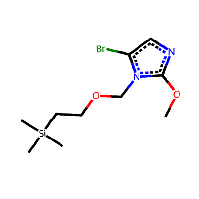 COc1ncc(Br)n1COCC[Si](C)(C)C